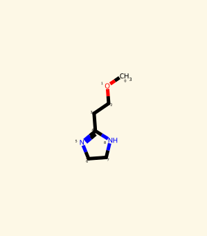 COCCC1=N[CH]CN1